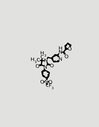 CC1(C)C(=O)N(c2ccc(S(=O)(=O)C(F)(F)F)cc2)C(=O)N1Cc1ccnc(NC(=O)c2ccco2)c1